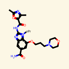 CCCn1c(NC(=O)c2oc(C)nc2C)nc2cc(C(N)=O)cc(OCCCN3CCOCC3)c21